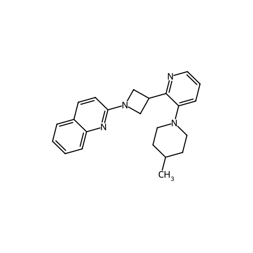 CC1CCN(c2cccnc2C2CN(c3ccc4ccccc4n3)C2)CC1